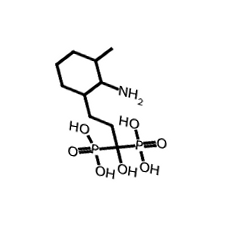 CC1CCCC(CCC(O)(P(=O)(O)O)P(=O)(O)O)C1N